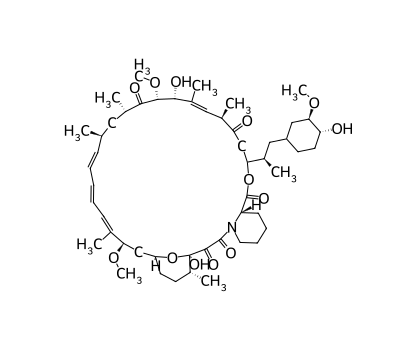 CO[C@@H]1C[C@@H]2CC[C@@H](C)[C@@](O)(O2)C(=O)C(=O)N2CCCC[C@H]2C(=O)OC([C@H](C)CC2CC[C@@H](O)[C@H](OC)C2)CC(=O)[C@H](C)/C=C(\C)[C@@H](O)[C@@H](OC)C(=O)[C@@H](C)C[C@H](C)/C=C/C=C/C=C/1C